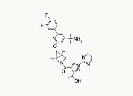 CC(O)c1nn(-c2ncccn2)cc1C(=O)N1C[C@@H]2[C@H](C1)[C@H]2Oc1cc(C(C)(C)N)cc(-c2ccc(F)c(F)c2)n1